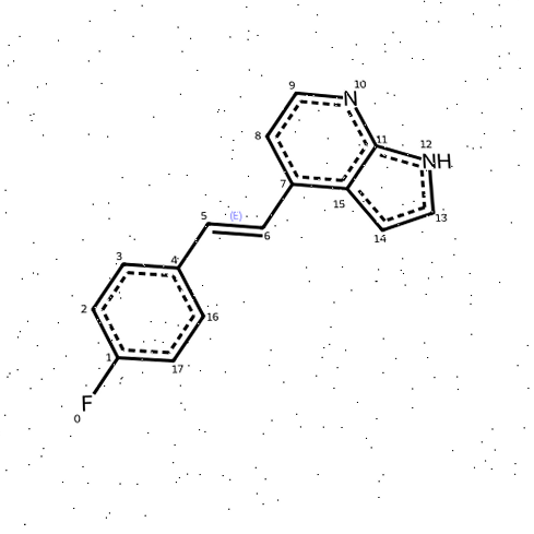 Fc1ccc(/C=C/c2ccnc3[nH]ccc23)cc1